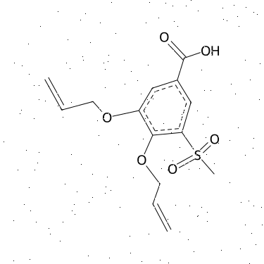 C=CCOc1cc(C(=O)O)cc(S(C)(=O)=O)c1OCC=C